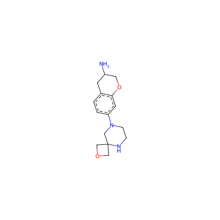 NC1COc2cc(N3CCNC4(COC4)C3)ccc2C1